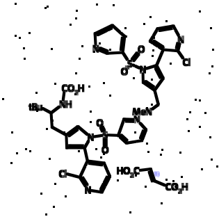 CC(C)(C)C(Cc1cc(-c2cccnc2Cl)n(S(=O)(=O)c2cccnc2)c1)NC(=O)O.CNCc1cc(-c2cccnc2Cl)n(S(=O)(=O)c2cccnc2)c1.O=C(O)/C=C/C(=O)O